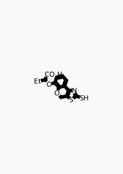 CCC(Oc1cccc2c1OCc1sc(S)nc1-2)C(=O)O